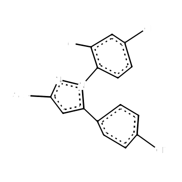 CC(=O)Oc1cc(-c2ccc(C(F)(F)F)cc2)n(-c2ccc(Cl)cc2Cl)n1